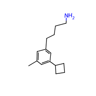 Cc1cc(CCCCN)cc(C2CCC2)c1